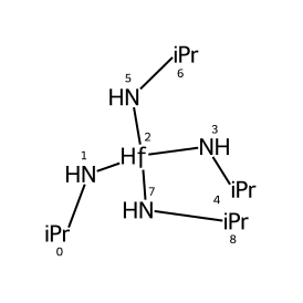 CC(C)[NH][Hf]([NH]C(C)C)([NH]C(C)C)[NH]C(C)C